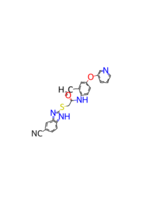 Cc1cc(Oc2cccnc2)ccc1NC(=O)CSc1nc2cc(C#N)ccc2[nH]1